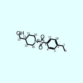 CCc1ccc(S(=O)(=O)N2CCC(CO)CC2)cc1